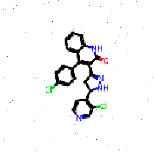 O=c1[nH]c2ccccc2c(-c2ccc(Cl)cc2)c1C1=NNC(c2ccncc2Cl)C1